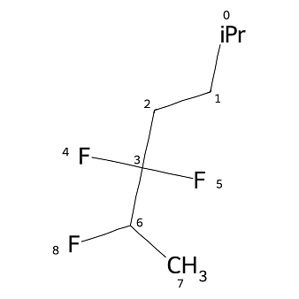 CC(C)CCC(F)(F)C(C)F